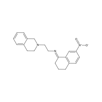 O=[N+]([O-])c1ccc2c(c1)/C(=N/CCN1CCc3ccccc3C1)CCC2